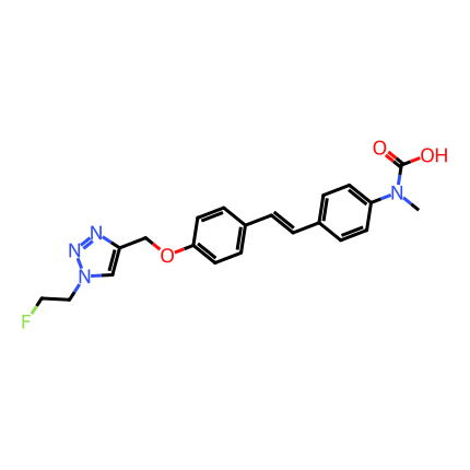 CN(C(=O)O)c1ccc(/C=C/c2ccc(OCc3cn(CCF)nn3)cc2)cc1